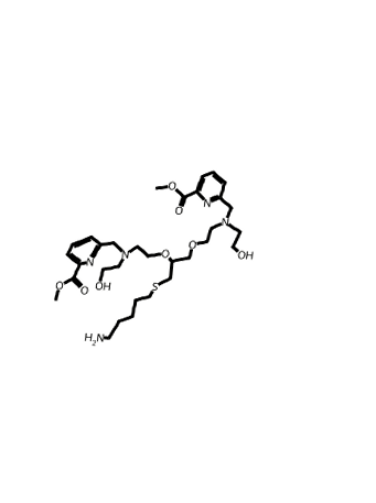 COC(=O)c1cccc(CN(CCO)CCOCC(CSCCCCCN)OCCN(CCO)Cc2cccc(C(=O)OC)n2)n1